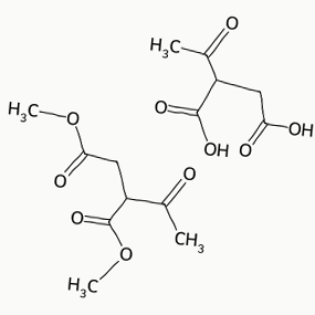 CC(=O)C(CC(=O)O)C(=O)O.COC(=O)CC(C(C)=O)C(=O)OC